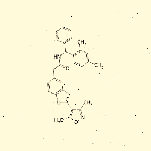 Cc1ccc(C(NC(=O)Cc2ccc3oc(-c4c(C)noc4C)cc3c2)c2ccccc2)c(C)c1